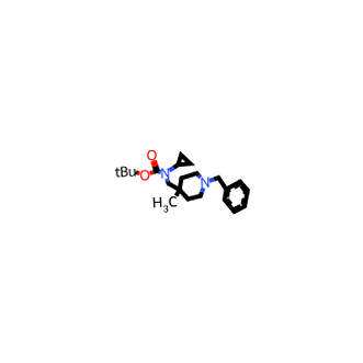 CC1(CN(C(=O)OC(C)(C)C)C2CC2)CCN(Cc2ccccc2)CC1